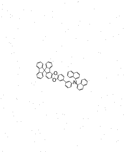 c1cc(-c2ccc3c(c2)Oc2ccc4c(c2O3)-c2ccccc2C42c3ccccc3-c3ccccc32)cc(N(c2cccc3ccccc23)c2cccc3ccccc23)c1